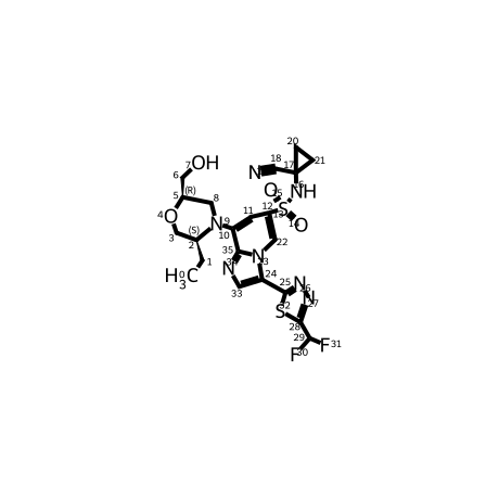 CC[C@H]1CO[C@@H](CO)CN1c1cc(S(=O)(=O)NC2(C#N)CC2)cn2c(-c3nnc(C(F)F)s3)cnc12